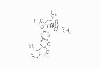 C=CC(=O)OC(C)(C)CC(C)(C)Oc1ccc2oc(=O)c(-c3c(CC)cccc3CC)cc2c1